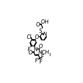 Cn1c(C(F)(F)F)cc(=O)n(-c2cc(Oc3cccnc3SCC(=O)O)c(Cl)cc2F)c1=O